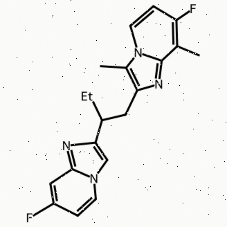 CCC(Cc1nc2c(C)c(F)ccn2c1C)c1cn2ccc(F)cc2n1